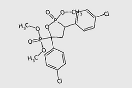 COP1(=O)OC(c2ccc(Cl)cc2)(P(=O)(OC)OC)CC1c1ccc(Cl)cc1